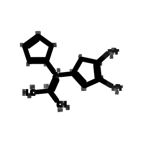 CCCC1=C(CCC)C[C]([Zr]([C]2=CC=CC2)=[C](C)C)=C1